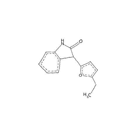 CCc1ccc(C2C(=O)Nc3ccccc32)o1